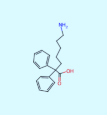 NCCCCCC(C(=O)O)(c1ccccc1)c1ccccc1